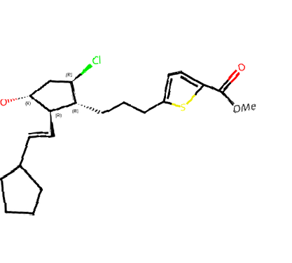 COC(=O)c1ccc(CCC[C@@H]2[C@@H](C=CC3CCCC3)[C@H](O)C[C@H]2Cl)s1